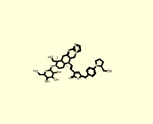 C[C@]12CC[C@@H](OC3OC(CO)C(O)C(O)C3O)[C@@](C)(CO)C1CC1=Nc3nccn3CC1C2/C=C/C1=CC(=C\c2ccc(N3CCCC3CO)cc2)/OC1=O